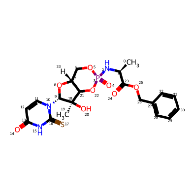 C[C@H](NP1(=O)OC[C@H]2O[C@@H](n3ccc(=O)[nH]c3=S)[C@](C)(O)C2O1)C(=O)OCc1ccccc1